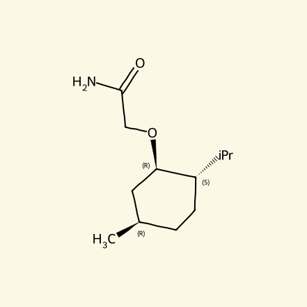 CC(C)[C@@H]1CC[C@@H](C)C[C@H]1OCC(N)=O